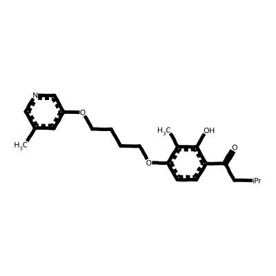 Cc1cncc(OCCCCOc2ccc(C(=O)CC(C)C)c(O)c2C)c1